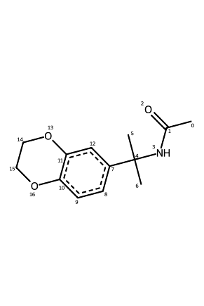 CC(=O)NC(C)(C)c1ccc2c(c1)OCCO2